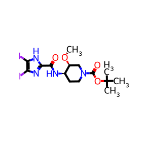 CO[C@H]1CN(C(=O)OC(C)(C)C)CC[C@H]1NC(=O)c1nc(I)c(I)[nH]1